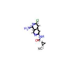 N#C[C@H]1C[C@H]1C(=O)Nc1cc2cc(Cl)nc(N)c2cn1